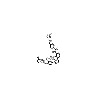 COc1cc(-c2nccc(-c3cccc(NC(=O)c4ccc(CNC[C@@H]5CCC(=O)N5)cn4)c3C)c2Cl)ccc1CNC[C@H]1CCC(=O)N1